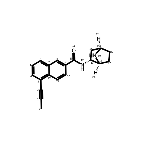 CC#Cc1cccc2cc(C(=O)N[C@@H]3C[C@H]4CC[C@@H]3N4)ccc12